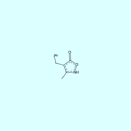 Cc1[nH]oc(=O)c1CC(C)C